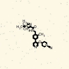 Cc1cc(-c2ccncc2OC2CCN(C#N)CC2)ccc1CNC(=O)c1cn(C(C)(C)C)nn1